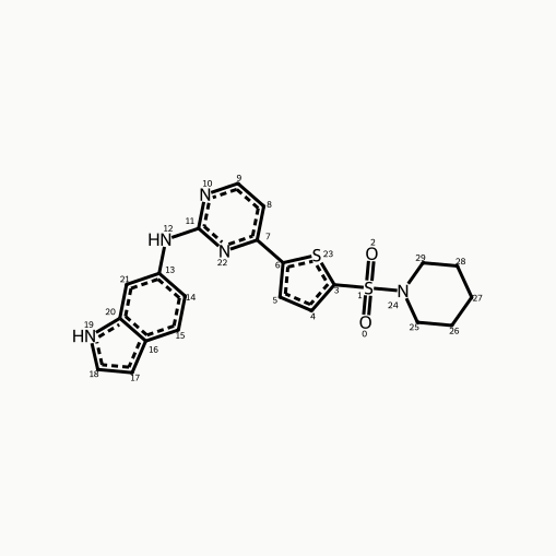 O=S(=O)(c1ccc(-c2ccnc(Nc3ccc4cc[nH]c4c3)n2)s1)N1CCCCC1